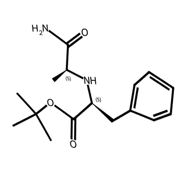 C[C@H](N[C@@H](Cc1ccccc1)C(=O)OC(C)(C)C)C(N)=O